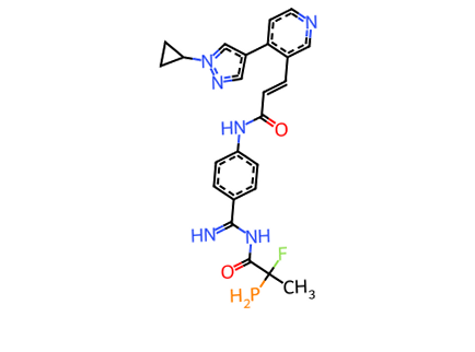 CC(F)(P)C(=O)NC(=N)c1ccc(NC(=O)/C=C/c2cnccc2-c2cnn(C3CC3)c2)cc1